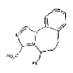 CCC1CCc2ccccc2-n2cnc(C(=O)O)c21